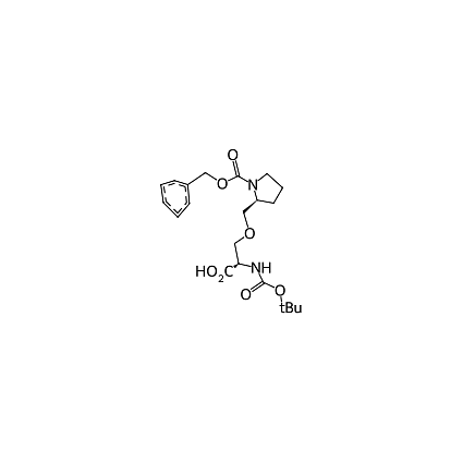 CC(C)(C)OC(=O)N[C@H](COC[C@@H]1CCCN1C(=O)OCc1ccccc1)C(=O)O